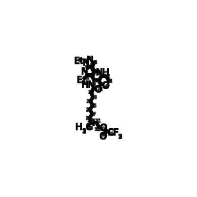 CCc1nc2c(cnn2CC)c(NC2CCOCC2)c1CNC(=O)CCCCCCCN(C)CCOC(=O)C(F)(F)F